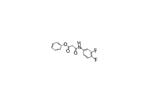 O=C(CC(=O)Oc1ccccc1)Nc1ccc(F)c(F)c1